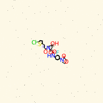 O=C(Nc1ccc(N2CCOCC2=O)cc1F)O[C@@H]1C[C@@H](O)CN1C(=O)/C=C/c1ccc(Cl)s1